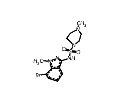 CN1CCN(S(=O)(=O)Nc2nn(C)c3c(Br)cccc23)CC1